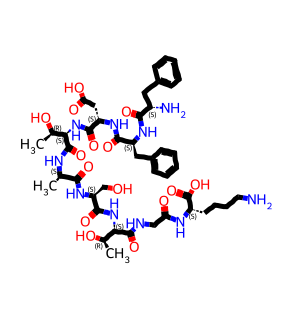 C[C@H](NC(=O)[C@@H](NC(=O)[C@H](CC(=O)O)NC(=O)[C@H](Cc1ccccc1)NC(=O)[C@@H](N)Cc1ccccc1)[C@@H](C)O)C(=O)N[C@@H](CO)C(=O)N[C@H](C(=O)NCC(=O)N[C@@H](CCCCN)C(=O)O)[C@@H](C)O